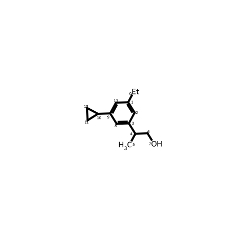 CCc1cc([C](C)CO)cc(C2CC2)c1